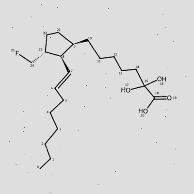 CCCCCCC=C[C@@H]1[C@H](CCCCCC(O)(O)C(=O)O)CC[C@H]1CF